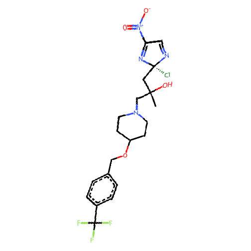 CC(O)(CN1CCC(OCc2ccc(C(F)(F)F)cc2)CC1)C[C@]1(Cl)N=CC([N+](=O)[O-])=N1